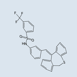 O=S(=O)(Nc1cccc(/C=C2\c3ccccc3CSc3ccccc32)c1)c1cccc(C(F)(F)F)c1